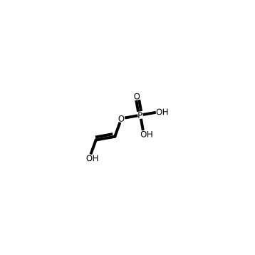 O=P(O)(O)O/C=C/O